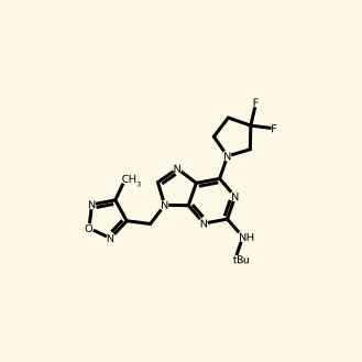 Cc1nonc1Cn1cnc2c(N3CCC(F)(F)C3)nc(NC(C)(C)C)nc21